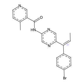 C/C=C(/c1ccc(Br)cc1)c1cnc(NC(=O)c2cnccc2C)cn1